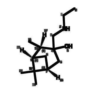 CCNCC1(O)C[C@@H]2C[C@H]([C@H]1C)C2(C)C